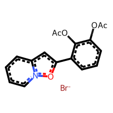 CC(=O)Oc1cccc(-c2cc3cccc[n+]3o2)c1OC(C)=O.[Br-]